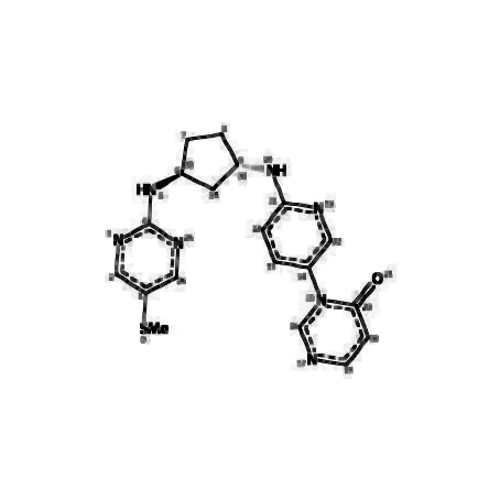 CSc1cnc(N[C@H]2CC[C@H](Nc3ccc(-n4cnccc4=O)cn3)C2)nc1